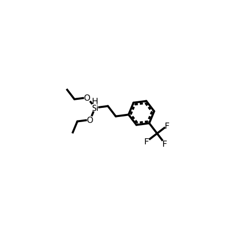 CCO[SiH](CCc1cccc(C(F)(F)F)c1)OCC